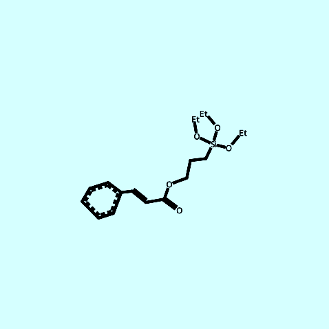 CCO[Si](CCCOC(=O)C=Cc1ccccc1)(OCC)OCC